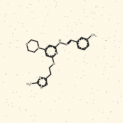 Cc1cccc(/C=N/Nc2cc(N3CCOCC3)cc(OCCc3cnc(C)o3)n2)c1